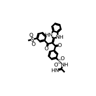 CC(=N)NS(=O)(=O)c1cccc(C(=O)C(C(=O)c2cccc(S(C)(=O)=O)c2)=C2Nc3ccccc3N2)c1